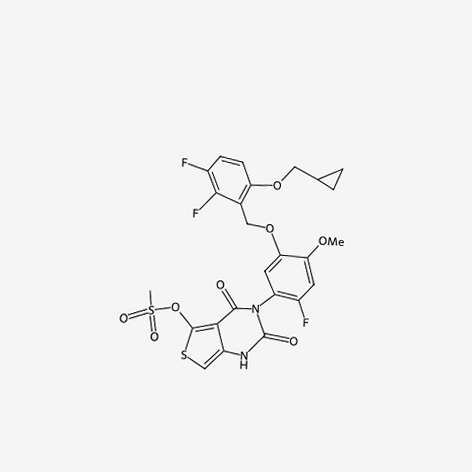 COc1cc(F)c(-n2c(=O)[nH]c3csc(OS(C)(=O)=O)c3c2=O)cc1OCc1c(OCC2CC2)ccc(F)c1F